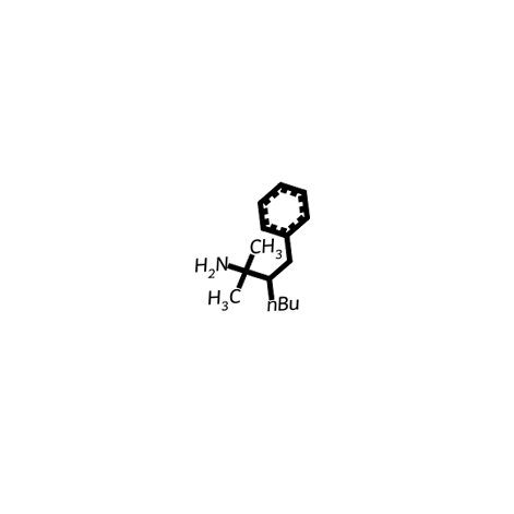 CCCCC(Cc1ccccc1)C(C)(C)N